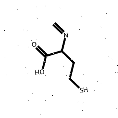 C=NC(CCS)C(=O)O